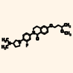 COC(C)CCOc1ccc2c(c1)CCN(c1ccc(N3CC[C@@H](N(C)C)C3)c(F)c1)C2=O